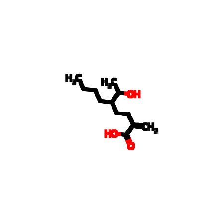 C=C(CCC(CCCC)C(C)O)C(=O)O